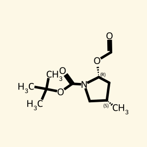 C[C@H]1C[C@@H](OC=O)N(C(=O)OC(C)(C)C)C1